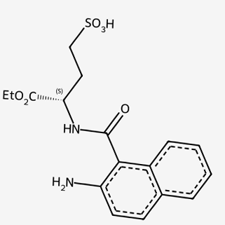 CCOC(=O)[C@H](CCS(=O)(=O)O)NC(=O)c1c(N)ccc2ccccc12